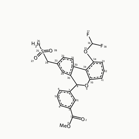 COC(=O)c1cccc(C2Oc3cccc(OC(F)F)c3-c3ccc(CS(N)(=O)=O)cc32)c1